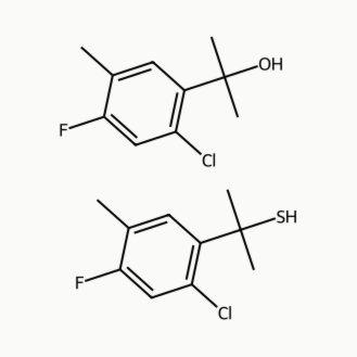 Cc1cc(C(C)(C)O)c(Cl)cc1F.Cc1cc(C(C)(C)S)c(Cl)cc1F